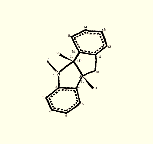 CN1c2ccccc2[C@@]2(C)Cc3ccccc3[C@@]12C